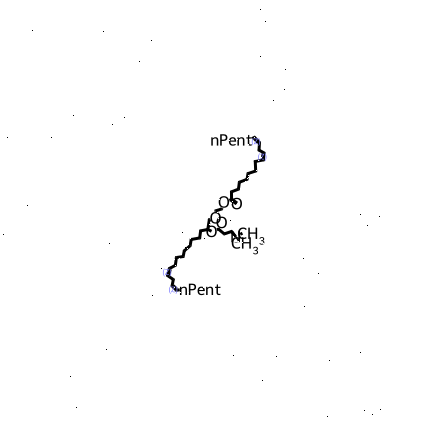 CCCCC/C=C\C/C=C\CCCCCCCCC(COCCOC(=O)CCCCCCC/C=C\C/C=C\CCCCC)OC(=O)CCN(C)C